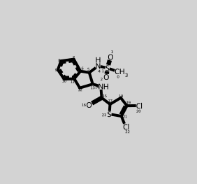 CS(=O)(=O)NC1c2ccccc2CC1NC(=O)C1CC(Cl)=C(Cl)S1